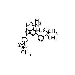 CCS(=O)(=O)N1CCC(c2c[nH]c3c(C(N)=O)cc(-c4cccc(C(C)N(C)C)c4)cc23)CC1